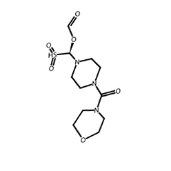 O=CO[C@@H](N1CCN(C(=O)N2CCOCC2)CC1)[SH](=O)=O